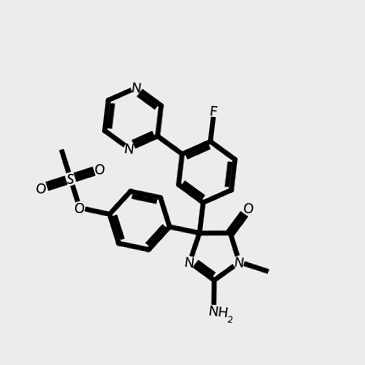 CN1C(=O)C(c2ccc(OS(C)(=O)=O)cc2)(c2ccc(F)c(-c3cnccn3)c2)N=C1N